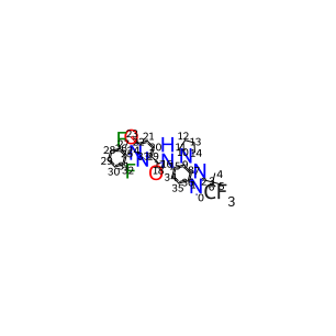 Cn1c(C(C)(C)C(F)(F)F)nc2c(N3CCCC3)c(NC(=O)c3ccc(=O)n(-c4c(F)cccc4F)n3)ccc21